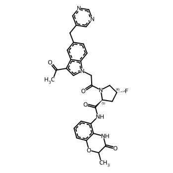 CC(=O)c1cn(CC(=O)N2C[C@H](F)C[C@H]2C(=O)Nc2cccc3c2NC(=O)C(C)O3)c2ccc(Cc3cncnc3)cc12